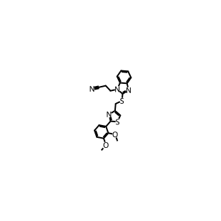 COc1cccc(-c2nc(CSc3nc4ccccc4n3CCC#N)cs2)c1OC